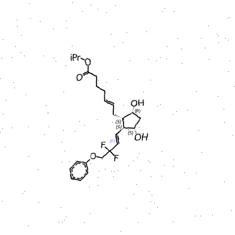 CC(C)OC(=O)CCCC=CC[C@H]1[C@H](/C=C/C(F)(F)COc2ccccc2)[C@@H](O)C[C@H]1O